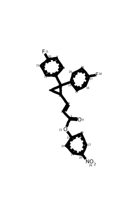 O=C(/C=C/C1CC1(c1ccc(F)cc1)c1ccc(F)cc1)Oc1ccc([N+](=O)[O-])cc1